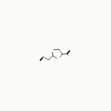 O=C(O)C1CSC(CC=S)N1